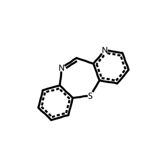 C1=Nc2ccccc2Sc2cccnc21